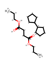 C1CCC(C2CCCC2)C1.CCCOC(=O)CCC(=O)OCCC